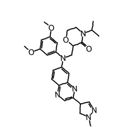 COc1cc(OC)cc(N(CC2OCCN(C(C)C)C2=O)c2ccc3ncc(C4C=NN(C)C4)nc3c2)c1